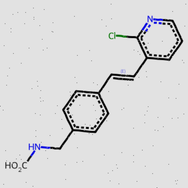 O=C(O)NCc1ccc(/C=C/c2cccnc2Cl)cc1